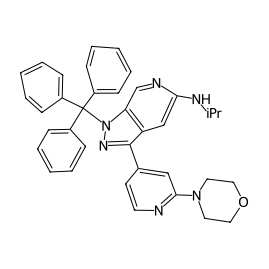 CC(C)Nc1cc2c(-c3ccnc(N4CCOCC4)c3)nn(C(c3ccccc3)(c3ccccc3)c3ccccc3)c2cn1